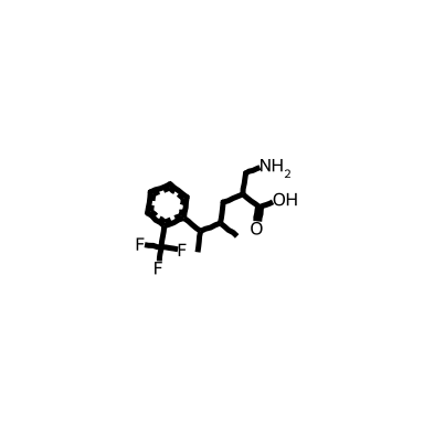 CC(CC(CN)C(=O)O)C(C)c1ccccc1C(F)(F)F